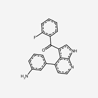 Nc1cccc(-c2ccnc3[nH]cc(C(=O)c4ccccc4F)c23)c1